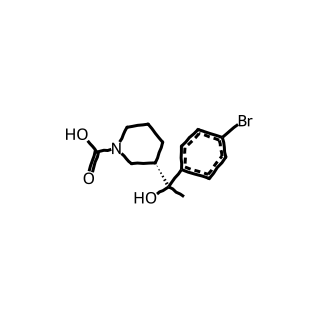 CC(O)(c1ccc(Br)cc1)[C@H]1CCCN(C(=O)O)C1